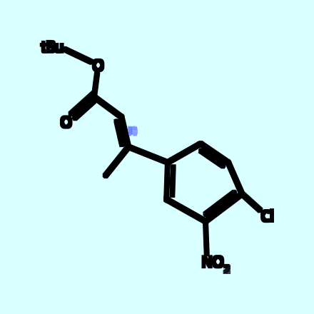 C/C(=C\C(=O)OC(C)(C)C)c1ccc(Cl)c([N+](=O)[O-])c1